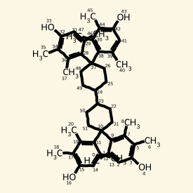 Cc1cc(O)c(C)c(C)c1C1(c2c(C)cc(O)c(C)c2C)CCC(C2CCC(c3c(C)cc(O)c(C)c3C)(c3c(C)cc(O)c(C)c3C)CC2)CC1